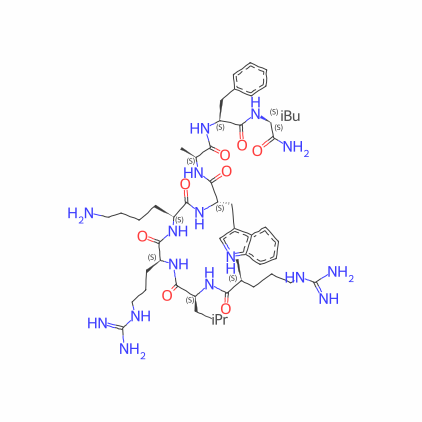 CC[C@H](C)[C@H](NC(=O)[C@H](Cc1ccccc1)NC(=O)[C@H](C)NC(=O)[C@H](Cc1c[nH]c2ccccc12)NC(=O)[C@H](CCCCN)NC(=O)[C@H](CCCNC(=N)N)NC(=O)[C@H](CC(C)C)NC(=O)[C@@H](C)CCCNC(=N)N)C(N)=O